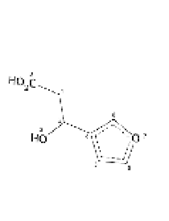 O=C(O)CC(O)c1ccoc1